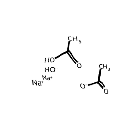 CC(=O)O.CC(=O)[O-].[Na+].[Na+].[OH-]